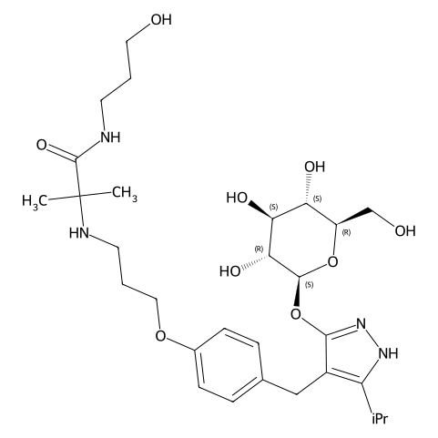 CC(C)c1[nH]nc(O[C@@H]2O[C@H](CO)[C@@H](O)[C@H](O)[C@H]2O)c1Cc1ccc(OCCCNC(C)(C)C(=O)NCCCO)cc1